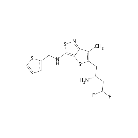 Cc1c(C[C@@H](N)CC(F)F)sc2c(NCc3cccs3)snc12